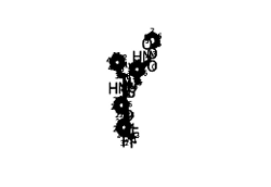 O=C(NOC1CCCCO1)c1cccc(C=[N+]2SC(c3cccc(Oc4cccc(C(F)(F)F)c4)c3)NN2CCc2ccccc2)c1